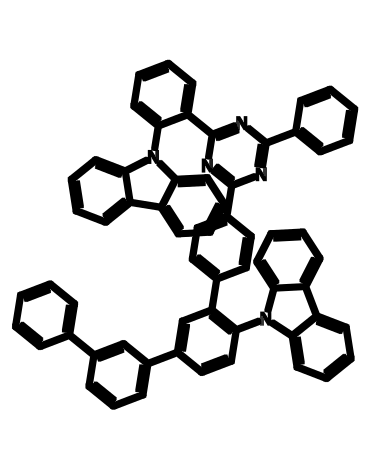 c1ccc(-c2cccc(-c3ccc(-n4c5ccccc5c5ccccc54)c(-c4ccc(-c5nc(-c6ccccc6)nc(-c6ccccc6-n6c7ccccc7c7ccccc76)n5)cc4)c3)c2)cc1